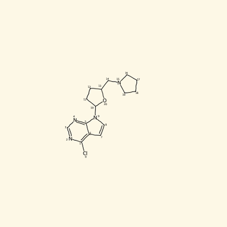 Clc1ncnc2c1ccn2C1CCC(CN2CCCC2)O1